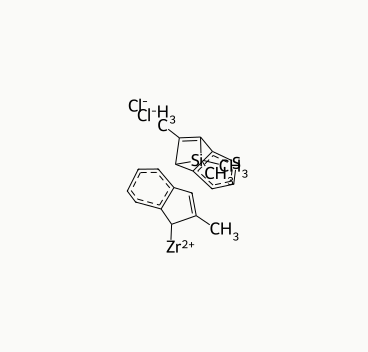 CC1=C2c3sccc3C1[Si]2(C)C.CC1=Cc2ccccc2[CH]1[Zr+2].[Cl-].[Cl-]